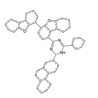 c1ccc(C2=NC(c3ccc(-c4cccc5c4oc4ccccc45)c4oc5ccccc5c34)=NC(c3ccc4c(ccc5ccccc54)c3)N2)cc1